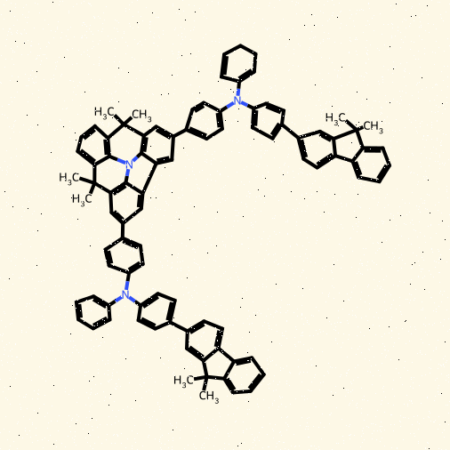 CC1(C)c2ccccc2-c2ccc(-c3ccc(N(C4=CCCC=C4)c4ccc(-c5cc6c7c(c5)c5cc(-c8ccc(N(c9ccccc9)c9ccc(-c%10ccc%11c(c%10)C(C)(C)c%10ccccc%10-%11)cc9)cc8)cc8c5n7-c5c(cccc5C8(C)C)C6(C)C)cc4)cc3)cc21